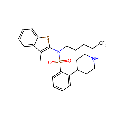 Cc1c(N(CCCCC(F)(F)F)S(=O)(=O)c2ccccc2C2CCNCC2)sc2ccccc12